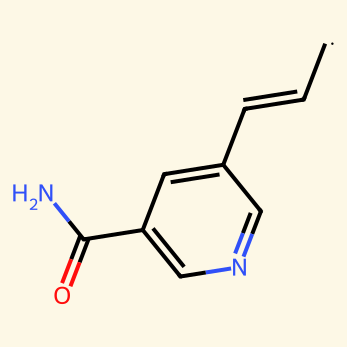 [CH2]/C=C/c1cncc(C(N)=O)c1